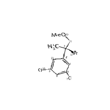 COC[C@@](C)(c1cc(Cl)cc(Cl)c1)C(C)C